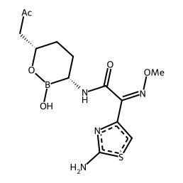 CO/N=C(\C(=O)N[C@H]1CC[C@@H](CC(C)=O)OB1O)c1csc(N)n1